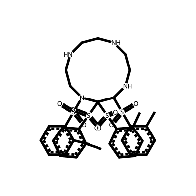 Cc1ccccc1S(=O)(=O)C1NCCNCCNCCN(S(=O)(=O)c2ccccc2C)C1(S(=O)(=O)c1ccccc1C)S(=O)(=O)c1ccccc1C